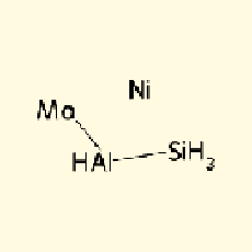 [Ni].[SiH3][AlH][Mo]